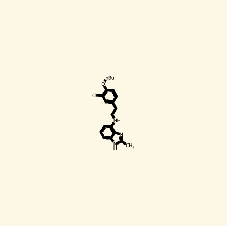 CCCCOc1ccc(CCNc2cccc3[nH]c(C)nc23)cc1Cl